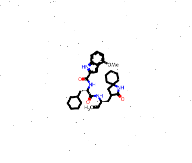 C=C[C@H](CC1CC2(CCCCC2)NC1=O)NC(=O)[C@H](CC1CCCCC1)NC(=O)c1cc2c(OC)cccc2[nH]1